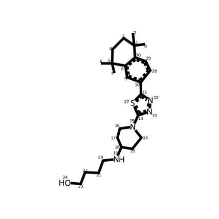 CC1(C)CCC(C)(C)c2cc(-c3nnc(N4CCC(NCCCCO)CC4)s3)ccc21